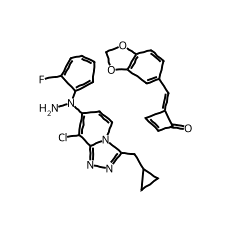 NN(c1ccccc1F)c1ccn2c(CC3CC3)nnc2c1Cl.O=C1C=CC1=Cc1ccc2c(c1)OCO2